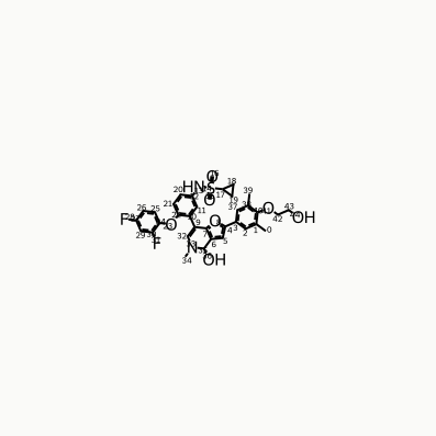 Cc1cc(-c2cc3c(o2)C(c2cc(NS(=O)(=O)C4CC4)ccc2Oc2ccc(F)cc2F)=CN(C)C3O)cc(C)c1OCCO